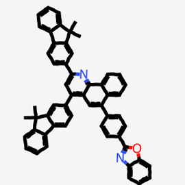 CC1(C)c2ccccc2-c2ccc(-c3cc(-c4ccc5c(c4)C(C)(C)c4ccccc4-5)c4cc(-c5ccc(-c6nc7ccccc7o6)cc5)c5ccccc5c4n3)cc21